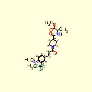 COC(=O)C(C)NC(=O)C1CCN(C(=O)/C=C/c2ccc(N(C)C)c(C(F)(F)F)c2)CC1